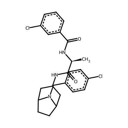 C[C@H](NC(=O)c1cccc(Cl)c1)C(=O)NC1CC2CCC(C1)N2Cc1ccc(Cl)cc1